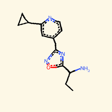 CCC(N)c1nc(-c2ccnc(C3CC3)c2)no1